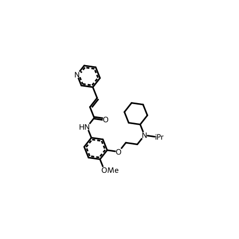 COc1ccc(NC(=O)C=Cc2cccnc2)cc1OCCN(C(C)C)C1CCCCC1